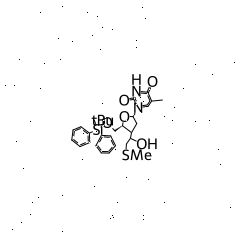 CSCC(O)C1C[C@H](n2cc(C)c(=O)[nH]c2=O)O[C@@H]1CO[Si](c1ccccc1)(c1ccccc1)C(C)(C)C